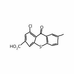 Cc1ccc2sc3cc(C(=O)O)cc(Cl)c3c(=O)c2c1